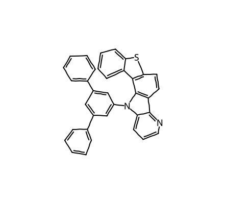 c1ccc(-c2cc(-c3ccccc3)cc(-n3c4cccnc4c4ccc5sc6ccccc6c5c43)c2)cc1